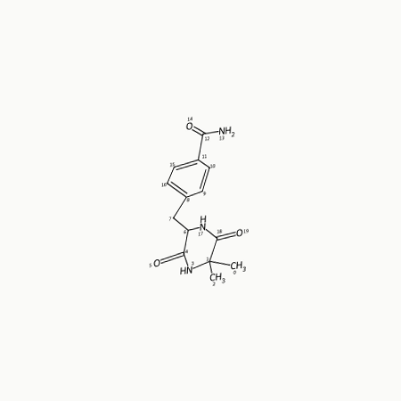 CC1(C)NC(=O)C(Cc2ccc(C(N)=O)cc2)NC1=O